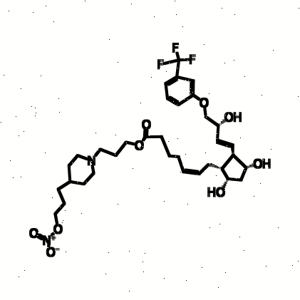 O=C(CCC/C=C\C[C@@H]1[C@@H](/C=C/[C@@H](O)COc2cccc(C(F)(F)F)c2)[C@H](O)C[C@@H]1O)OCCCN1CCC(CCCO[N+](=O)[O-])CC1